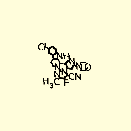 Cc1nc(N2CCc3c([nH]c4ccc(Cl)cc34)C2c2ccc(N3CCOCC3)nc2)nc(C#N)c1F